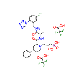 CC(NC(=O)[C@H]1C[C@@H](c2ccccc2)CCN1CCCP(=O)(O)O)C(=O)NCc1cc(Cl)ccc1-n1cnnn1.O=C(O)C(F)(F)F.O=C(O)C(F)(F)F